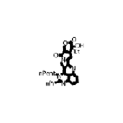 CCCCCN1C(CCC)=Nc2cccc3nc4c(c1c23)Cn1c-4cc2c(c1=O)COC(=O)[C@]2(O)CC